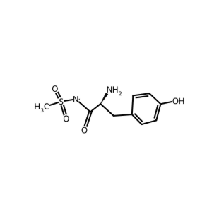 CS(=O)(=O)[N]C(=O)[C@@H](N)Cc1ccc(O)cc1